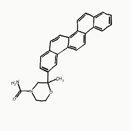 CC1(c2ccc3ccc4c(ccc5c6ccccc6ccc54)c3c2)CN(C(N)=O)CCO1